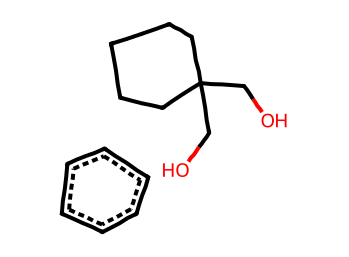 OCC1(CO)CCCCC1.c1ccccc1